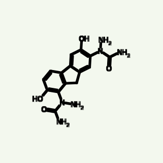 NC(=O)N(N)c1cc2c(cc1O)-c1ccc(O)c(N(N)C(N)=O)c1C2